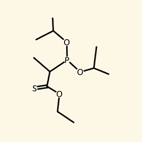 CCOC(=S)C(C)P(OC(C)C)OC(C)C